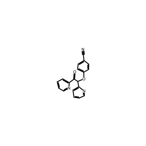 N#Cc1ccc(OC(C(=O)c2ccccn2)c2ccccn2)cc1